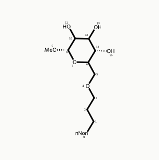 CCCCCCCCCCCCOCC1O[C@H](OC)C(O)C(O)[C@@H]1O